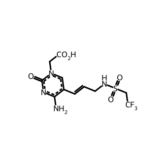 Nc1nc(=O)n(CC(=O)O)cc1C=CCNS(=O)(=O)CC(F)(F)F